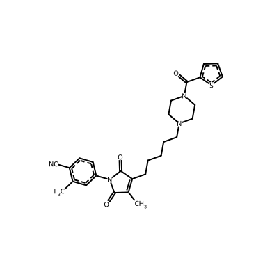 CC1=C(CCCCCN2CCN(C(=O)c3cccs3)CC2)C(=O)N(c2ccc(C#N)c(C(F)(F)F)c2)C1=O